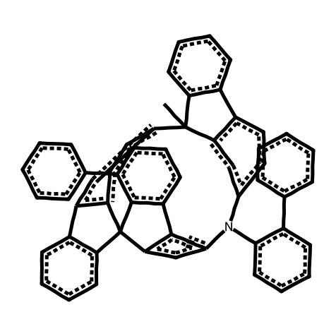 CC12c3ccc4c(c3)-c3ccccc3C43c4cc(ccc4-c4cccc(-c5ccccc5)c43)N(c3ccccc3-c3ccccc3)c3ccc(c1c3)-c1ccccc12